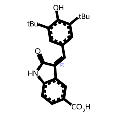 CC(C)(C)c1cc(/C=C2\C(=O)Nc3ccc(C(=O)O)cc32)cc(C(C)(C)C)c1O